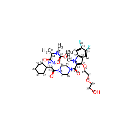 C[C@@H](C(=O)N[C@H](C(=O)N1CCN(C(=O)c2c(OCCOCCO)c3cc(F)c(F)cc3n2C)CC1)C1CCCCC1)N(C)C(=O)OC(C)(C)C